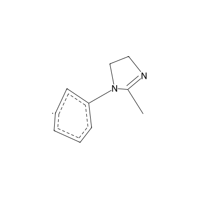 CC1=NCCN1c1c[c]ccc1